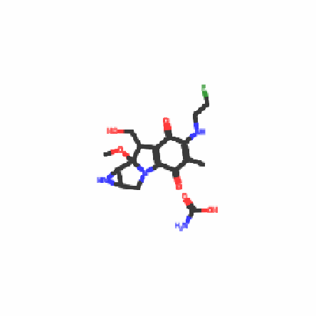 COC12C(CO)C3=C(C(=O)C(C)=C(NCCF)C3=O)N1CC1NC12.NC(=O)O